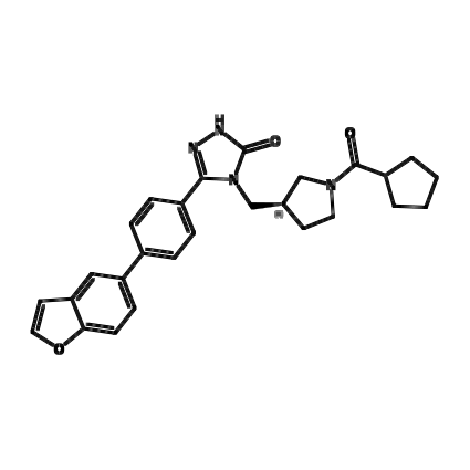 O=C(C1CCCC1)N1CC[C@@H](Cn2c(-c3ccc(-c4ccc5occc5c4)cc3)n[nH]c2=O)C1